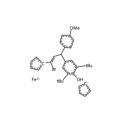 COc1ccc(C(C=C(Br)[c-]2cccc2)c2cc(C(C)(C)C)c(O)c(C(C)(C)C)c2)cc1.[Fe+2].c1cc[cH-]c1